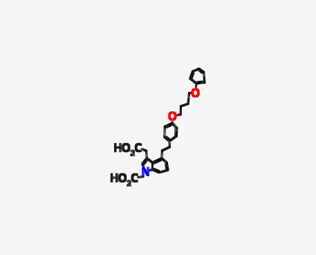 O=C(O)Cc1cn(CC(=O)O)c2cccc(CCc3ccc(OCCCCOc4ccccc4)cc3)c12